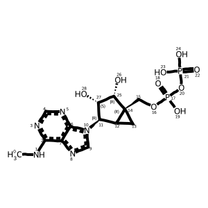 CNc1ncnc2c1ncn2[C@@H]1C2C[C@@]2(COP(=O)(O)OP(=O)(O)O)[C@@H](O)[C@H]1O